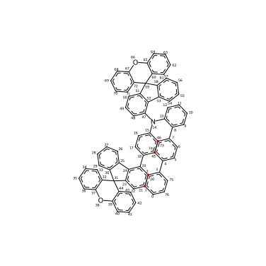 c1ccc(-c2ccc(-c3ccccc3N(c3ccc(-c4cccc5c4-c4ccccc4C54c5ccccc5Oc5ccccc54)cc3)c3cccc4c3-c3ccccc3C43c4ccccc4Oc4ccccc43)cc2)cc1